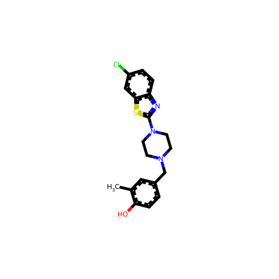 Cc1cc(CN2CCN(c3nc4ccc(Cl)cc4s3)CC2)ccc1O